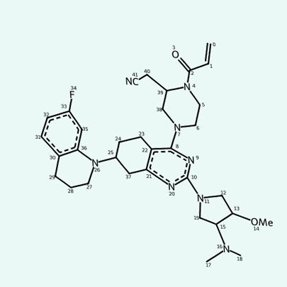 C=CC(=O)N1CCN(c2nc(N3CC(OC)C(N(C)C)C3)nc3c2CCC(N2CCCc4ccc(F)cc42)C3)CC1CC#N